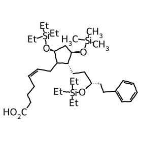 CC[Si](CC)(CC)O[C@@H](CCc1ccccc1)CC[C@@H]1C(C/C=C\CCCC(=O)O)[C@@H](O[Si](CC)(CC)CC)C[C@H]1O[Si](C)(C)C